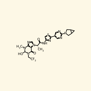 C[C@@H](C(=O)Nc1csc(-c2cnc(N3CC4CC4C3)nc2)n1)n1cnc2c1C(=O)N(CC(F)(F)F)C(O)N2C